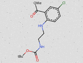 COC(=O)c1cc(Cl)ccc1NCCNC(=O)OC(C)(C)C